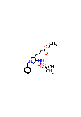 CCOC(=O)CCCC1CN(Cc2ccccc2)CC1NC(=O)OC(C)(C)C